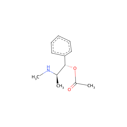 CN[C@H](C)[C@@H](OC(C)=O)c1ccccc1